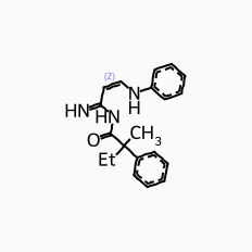 CCC(C)(C(=O)NC(=N)/C=C\Nc1ccccc1)c1ccccc1